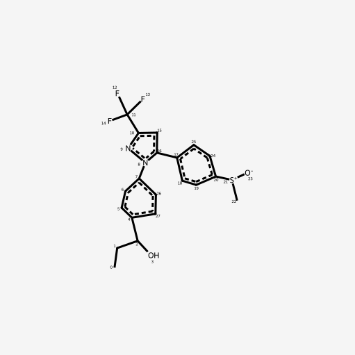 CCC(O)c1ccc(-n2nc(C(F)(F)F)cc2-c2ccc([S+](C)[O-])cc2)cc1